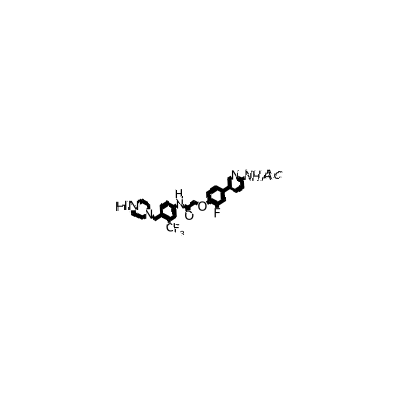 CC(=O)Nc1ccc(-c2ccc(OCC(=O)Nc3ccc(CN4CCNCC4)c(C(F)(F)F)c3)c(F)c2)cn1